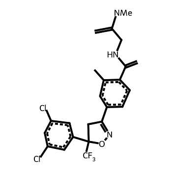 C=C(CNC(=C)c1ccc(C2=NOC(c3cc(Cl)cc(Cl)c3)(C(F)(F)F)C2)cc1C)NC